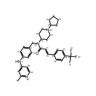 Cc1cc(Nc2ccc(CN(C(=O)/C=C/c3ccc(C(F)(F)F)cc3)C3CCN(C4CCCC4)CC3)cc2)ccn1